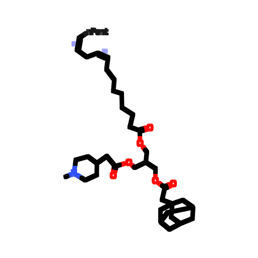 CCCCC/C=C\C/C=C\CCCCCCCC(=O)OCC(COC(=O)CC1CCN(C)CC1)COC(=O)CC12CC3CC(CC(C3)C1)C2